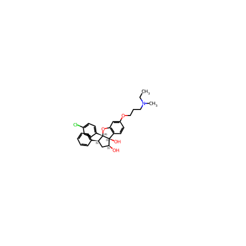 CCN(C)CCCOc1ccc2c(c1)O[C@@]1(c3ccc(Cl)cc3)[C@H](c3ccccc3)C[C@H](O)[C@@]21O